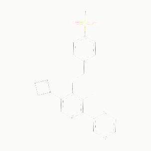 CS(=O)(=O)c1ccc(COc2c(C3CCC3)ccc(-c3cnccn3)c2F)cc1